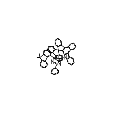 CC1(C)c2ccccc2-c2c(-c3nc(-c4ccccc4)nc(-n4c5ccccc5c5c6ccccc6c6c(c54)C4(c5ccccc5-c5ccccc54)c4ccccc4-6)n3)cccc21